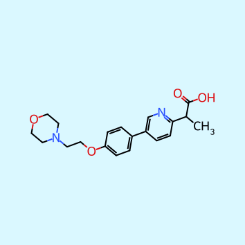 CC(C(=O)O)c1ccc(-c2ccc(OCCN3CCOCC3)cc2)cn1